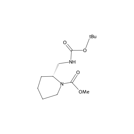 COC(=O)N1CCCC[C@@H]1CNC(=O)OC(C)(C)C